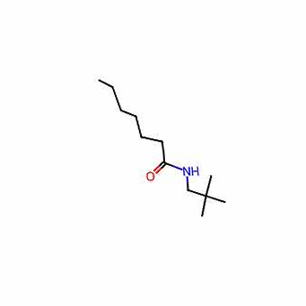 CCCCCCC(=O)NCC(C)(C)C